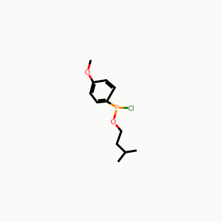 COc1ccc(P(Cl)OCCC(C)C)cc1